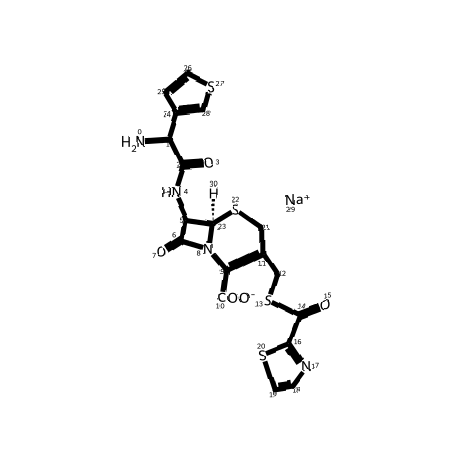 NC(C(=O)NC1C(=O)N2C(C(=O)[O-])=C(CSC(=O)c3nccs3)CS[C@H]12)c1ccsc1.[Na+]